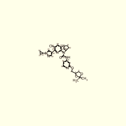 CC1(C)OCC(COc2cc(NC(=O)N3c4nc(-c5cnn(C6CC6)c5)c(Cl)cc4N4CCC3C4)ccn2)O1